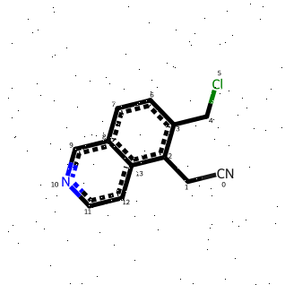 N#CCc1c(CCl)ccc2cnccc12